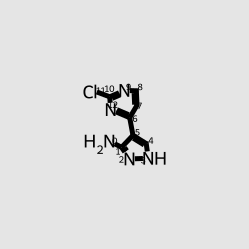 Nc1n[nH]cc1-c1ccnc(Cl)n1